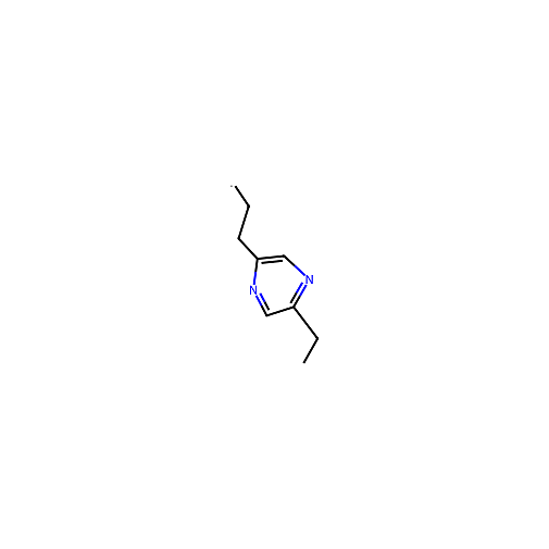 [CH2]CCc1cnc(CC)cn1